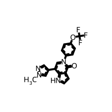 Cn1cc(-c2cn(-c3ccc(OC(F)(F)F)cc3)c(=O)c3cc[nH]c23)cn1